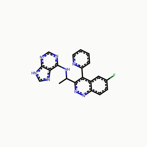 CC(Nc1ncnc2[nH]cnc12)c1nnc2ccc(F)cc2c1-c1ccccn1